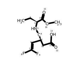 CC[C@H](NC[C@H](C=C(F)F)CC(=O)O)C(=O)OC